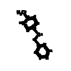 Cc1ccc(OCc2ccccc2)[c]n1